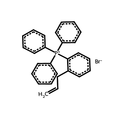 C=CCc1ccccc1[P+](c1ccccc1)(c1ccccc1)c1ccccc1.[Br-]